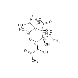 CC(=O)C(O)[C@H]1O[C@H](O)[C@@](O)(C(C)=O)[C@](O)(C(C)=O)[C@]1(O)C(C)=O